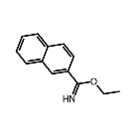 CCOC(=N)c1ccc2ccccc2c1